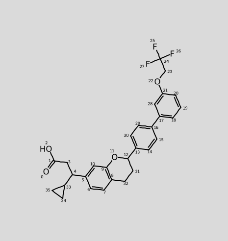 O=C(O)CC(c1ccc2c(c1)OC(c1ccc(-c3cccc(OCC(F)(F)F)c3)cc1)CC2)C1CC1